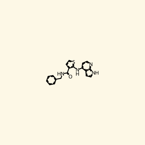 O=C(NCc1ccccc1)c1ccsc1Nc1ccnc2[nH]ccc12